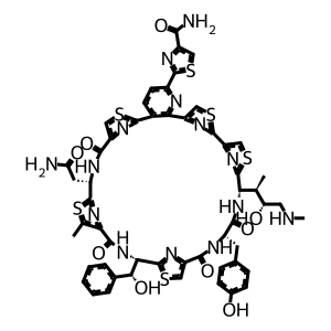 CNC[C@H](O)[C@H](C)[C@@H]1NC(=O)[C@H](Cc2ccc(O)cc2)NC(=O)c2csc(n2)[C@H]([C@H](O)c2ccccc2)NC(=O)c2nc(sc2C)[C@H](CC(N)=O)NC(=O)c2csc(n2)-c2ccc(-c3nc(C(N)=O)cs3)nc2-c2csc(n2)-c2csc1n2